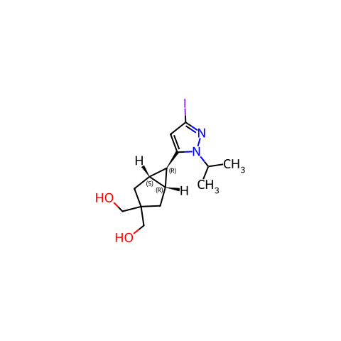 CC(C)n1nc(I)cc1[C@H]1[C@@H]2CC(CO)(CO)C[C@@H]21